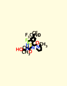 C[C@H]1CCCCN1C(=O)c1nc(C(=O)NCC(C)(C)O)sc1-c1ccc(C(N=O)(C(F)(F)F)C(F)(F)F)cc1C(F)F